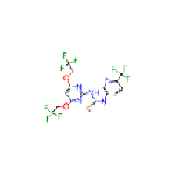 CN(C(=S)Nc1nc(OCC(F)(F)F)cc(OCC(F)(F)F)n1)c1ccc(C(F)(F)F)nc1